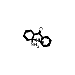 NC1(N)C=CC=CC1C(=O)c1ccccc1